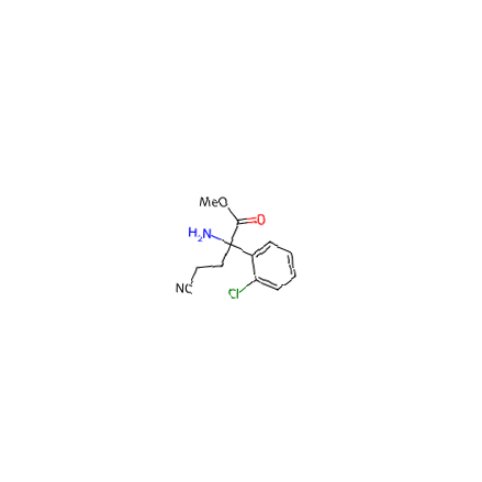 COC(=O)C(N)(CCC#N)c1ccccc1Cl